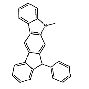 Cn1c2ccccc2c2cc3c(cc21)C(c1ccccc1)c1ccccc1-3